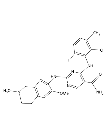 COc1cc2c(cc1Nc1ncc(C(N)=O)c(Nc3c(F)ccc(C)c3Cl)n1)CN(C)CC2